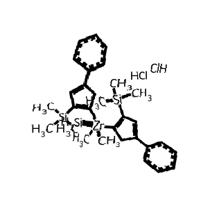 C[Si](C)(C)C1=[C]([Zr]([CH3])([CH3])(=[SiH2])[C]2=C([Si](C)(C)C)C=C(c3ccccc3)C2)CC(c2ccccc2)=C1.Cl.Cl